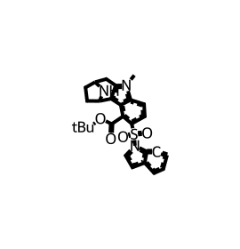 Cn1c2c(c3c(C(=O)OC(C)(C)C)c(S(=O)(=O)n4ccc5ccccc54)ccc31)C1CCC(C2)N1